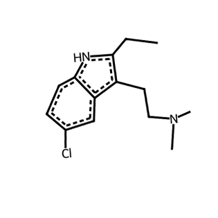 CCc1[nH]c2ccc(Cl)cc2c1CCN(C)C